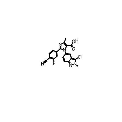 Cc1nc(-c2ccc(C#N)c(F)c2)n(-c2ccc3nn(C)c(Cl)c3c2)c1C(=O)O